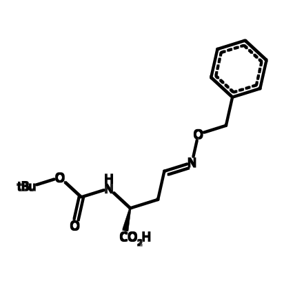 CC(C)(C)OC(=O)N[C@@H](C/C=N/OCc1ccccc1)C(=O)O